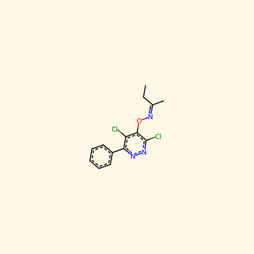 CCC(C)=NOc1c(Cl)nnc(-c2ccccc2)c1Cl